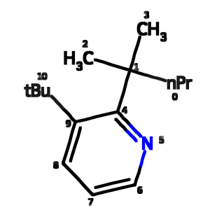 CCCC(C)(C)c1ncccc1C(C)(C)C